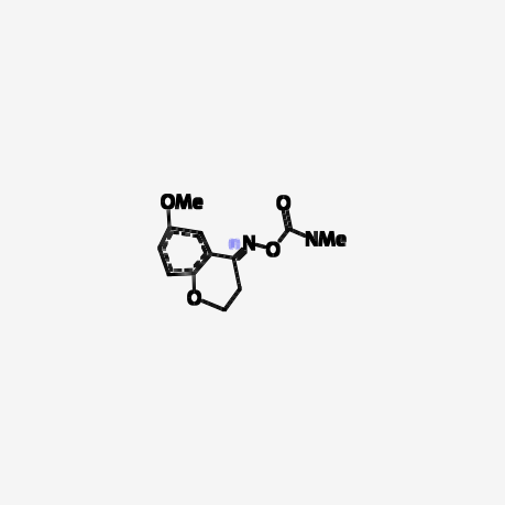 CNC(=O)O/N=C1\CCOc2ccc(OC)cc21